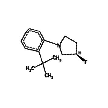 CC(C)(C)c1ccccc1N1CC[C@@H](F)C1